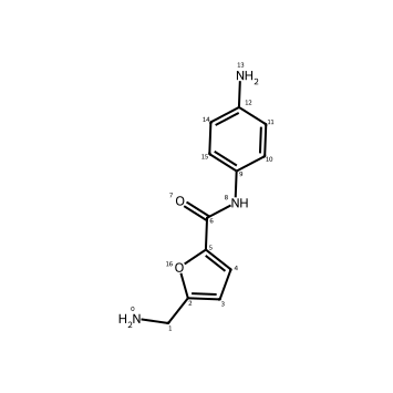 NCc1ccc(C(=O)Nc2ccc(N)cc2)o1